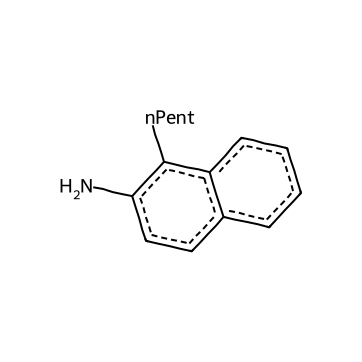 CCCCCc1c(N)ccc2ccccc12